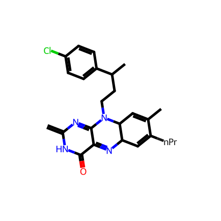 C=c1nc2c(c(=O)[nH]1)=NC1C=C(CCC)C(C)=CC1N2CCC(C)c1ccc(Cl)cc1